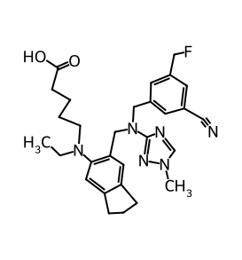 CCN(CCCCC(=O)O)c1cc2c(cc1CN(Cc1cc(C#N)cc(CF)c1)c1ncn(C)n1)CCC2